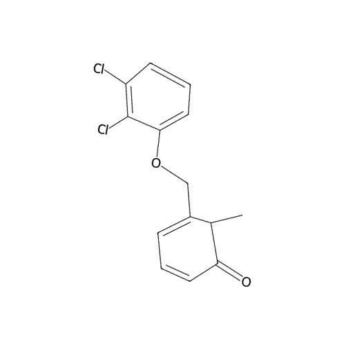 CC1C(=O)C=CC=C1COc1cccc(Cl)c1Cl